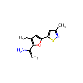 C=C(N)c1oc(-c2cc(C)ns2)cc1C